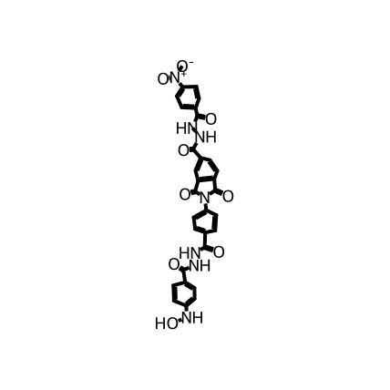 O=C(NNC(=O)c1ccc(N2C(=O)c3ccc(C(=O)NNC(=O)c4ccc([N+](=O)[O-])cc4)cc3C2=O)cc1)c1ccc(NO)cc1